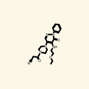 CCOCCNc1c(N2CCN(C(=O)CC#N)CC2)cnn(-c2ccccc2)c1=O